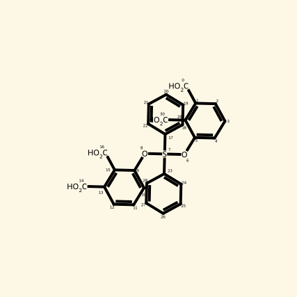 O=C(O)c1cccc(OS(Oc2cccc(C(=O)O)c2C(=O)O)(c2ccccc2)c2ccccc2)c1C(=O)O